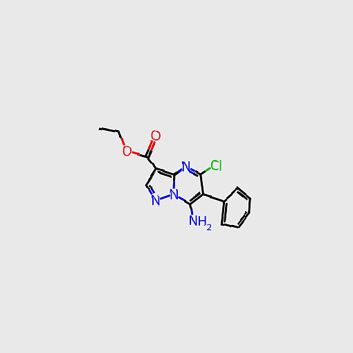 CCOC(=O)c1cnn2c(N)c(-c3ccccc3)c(Cl)nc12